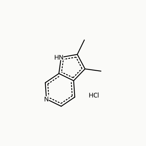 Cc1[nH]c2cnccc2c1C.Cl